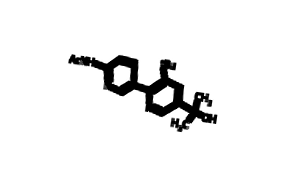 CC(=O)Nc1ccc(-c2ncc(C(C)(C)O)cc2C(C)(C)C)cn1